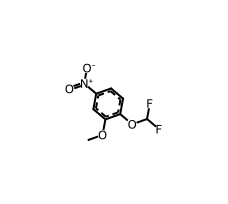 COc1cc([N+](=O)[O-])ccc1OC(F)F